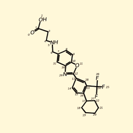 O=C(O)CCNCc1ccc2oc(-c3ccc(C4CCCCC4)c(C(F)(F)F)c3)nc2c1